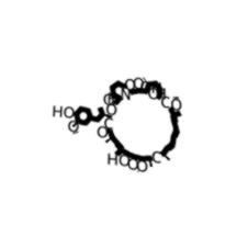 CO[C@H]1C[C@@H]2CC[C@@H](C)[C@@](O)(O2)C(=O)C(=O)N2CCCC[C@H]2C(=O)O[C@H](C(C)CC2CC[C@@H](O)[C@H](OC)C2)CC(=O)[C@H](C)/C=C(\C)[C@@H](O)[C@@H](OC)C(=O)[C@H](C)C[C@H](C)/C=C/C=C/C=C/1C